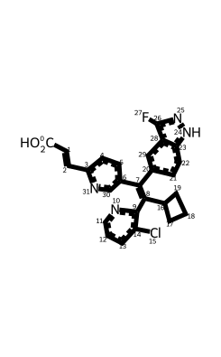 O=C(O)C=Cc1ccc(C(=C(c2ncccc2Cl)C2CCC2)c2ccc3[nH]nc(F)c3c2)cn1